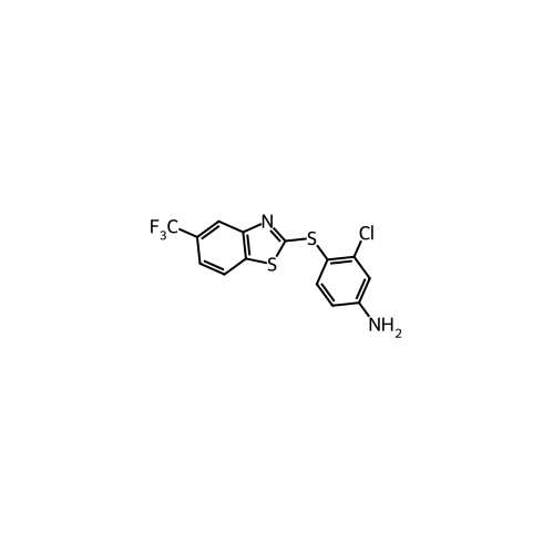 Nc1ccc(Sc2nc3cc(C(F)(F)F)ccc3s2)c(Cl)c1